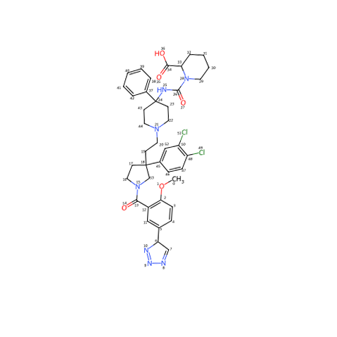 COc1ccc(C2C=NN=N2)cc1C(=O)N1CCC(CCN2CCC(NC(=O)N3CCCCC3C(=O)O)(c3ccccc3)CC2)(c2ccc(Cl)c(Cl)c2)C1